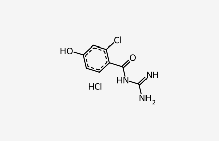 Cl.N=C(N)NC(=O)c1ccc(O)cc1Cl